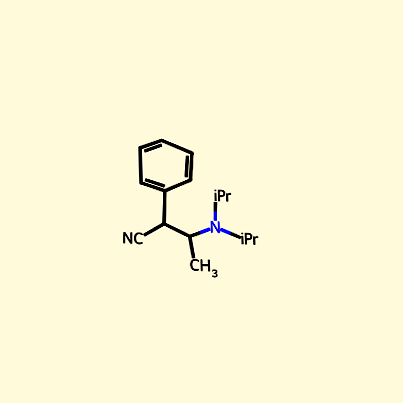 CC(C)N(C(C)C)C(C)C(C#N)c1ccccc1